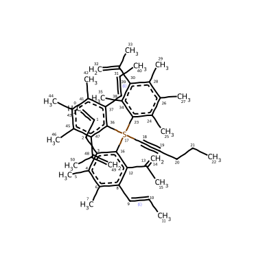 C=CCc1c(C)c(C)c(/C=C/C)c(C(=C)C)c1S(C#CCCC)(c1c(C)c(C)c(C)c(C(=C)C)c1C)c1c(/C=C/C)c(C)c(C)c(C)c1C(=C)C